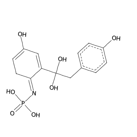 O=P(O)(O)N=C1CC=C(O)C=C1C(O)(O)Cc1ccc(O)cc1